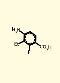 CCc1c(N)ccc(C(=O)O)c1F